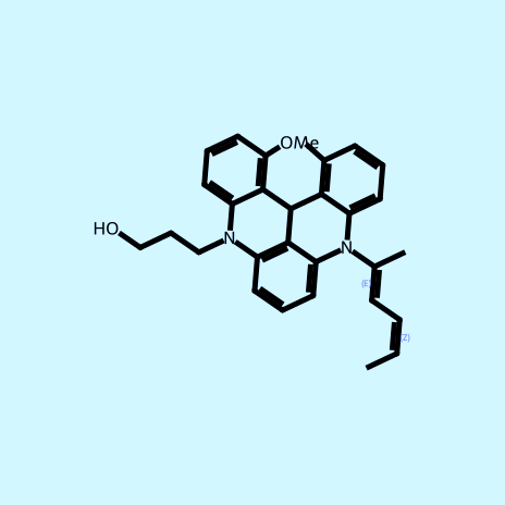 C/C=C\C=C(/C)N1c2cccc(C)c2C2c3c(OC)cccc3N(CCCO)c3cccc1c32